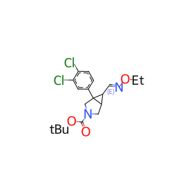 CCO/N=C/C1C2CN(C(=O)OC(C)(C)C)CC12c1ccc(Cl)c(Cl)c1